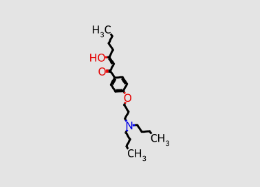 CCCC/C(O)=C/C(=O)c1ccc(OCCCN(CCCC)CCCC)cc1